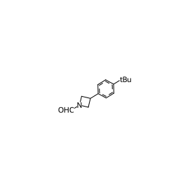 CC(C)(C)c1ccc(C2CN(C=O)C2)cc1